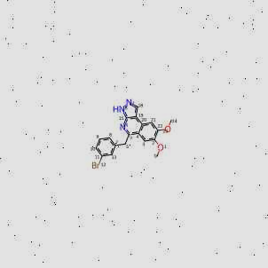 COc1cc2c(Cc3cccc(Br)c3)nc3[nH]ncc3c2cc1OC